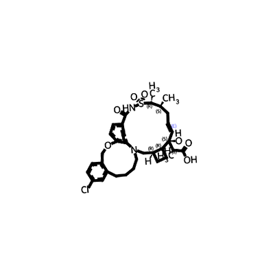 C[C@H](C(=O)O)[C@@]1(O)/C=C/C[C@H](C)[C@@H](C)S(=O)(=O)NC(=O)c2ccc3c(c2)N(CCCCc2cc(Cl)ccc2CO3)C[C@@H]2CC[C@H]21